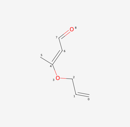 C=CCOC(C)=CC=O